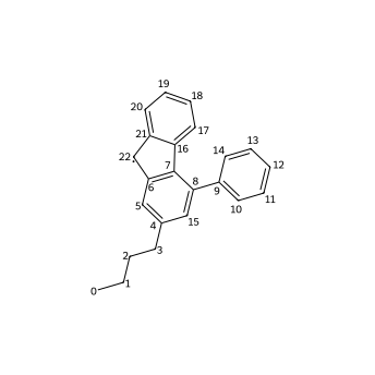 CCCCc1cc2c(c(-c3ccccc3)c1)-c1ccccc1[CH]2